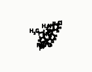 CCCC(c1ccc(C(F)(F)F)cc1)n1nc(-c2ccc(Cl)cc2N)c2c1C(CC(=O)O)CCC2